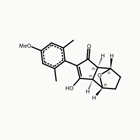 COc1cc(C)c(C2=C(O)[C@H]3[C@@H](C2=O)[C@@H]2CC[C@H]3O2)c(C)c1